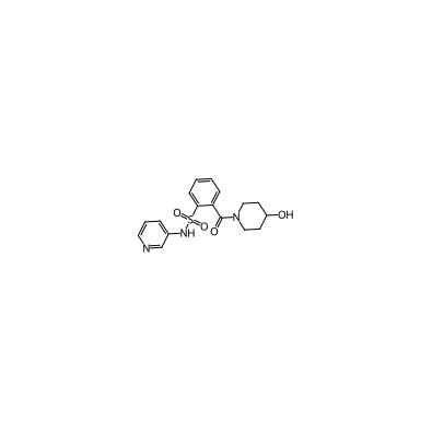 O=C(c1ccccc1S(=O)(=O)Nc1cccnc1)N1CCC(O)CC1